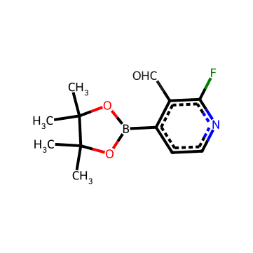 CC1(C)OB(c2ccnc(F)c2C=O)OC1(C)C